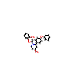 CCC(Oc1ccccc1O)N1CCC(O)CC1c1ccc(Oc2ccccc2)cc1